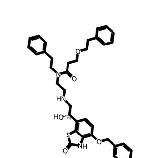 O=C(CCOCCc1ccccc1)N(CCNC[C@@H](O)c1ccc(OCc2ccccc2)c2[nH]c(=O)sc12)CCc1ccccc1